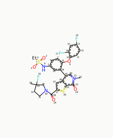 CCS(=O)(=O)Nc1ccc(Oc2ccc(F)cc2F)c(-c2cn(C)c(=O)c3sc(C(=O)N4CCC(C)(F)C4)cc23)c1